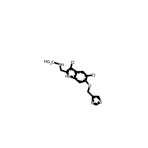 O=C(O)NCc1[nH]c2cc(OCc3cscn3)c(Cl)cc2c1Cl